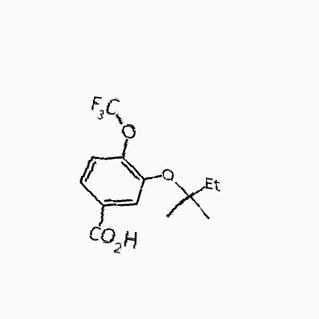 CCC(C)(C)Oc1cc(C(=O)O)ccc1OC(F)(F)F